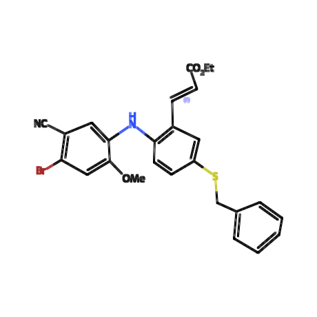 CCOC(=O)/C=C/c1cc(SCc2ccccc2)ccc1Nc1cc(C#N)c(Br)cc1OC